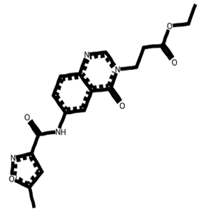 CCOC(=O)CCn1cnc2ccc(NC(=O)c3cc(C)on3)cc2c1=O